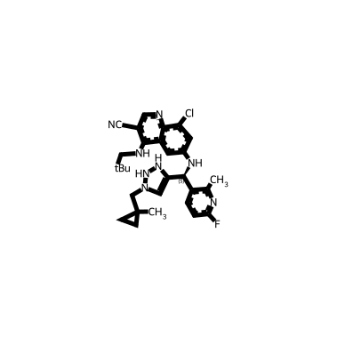 Cc1nc(F)ccc1[C@H](Nc1cc(Cl)c2ncc(C#N)c(NCC(C)(C)C)c2c1)C1=CN(CC2(C)CC2)NN1